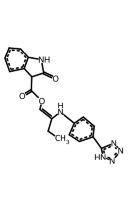 CC/C(=C/OC(=O)C1C(=O)Nc2ccccc21)Nc1ccc(-c2nnn[nH]2)cc1